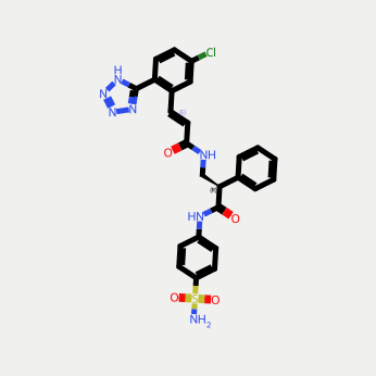 NS(=O)(=O)c1ccc(NC(=O)[C@@H](CNC(=O)/C=C/c2cc(Cl)ccc2-c2nnn[nH]2)c2ccccc2)cc1